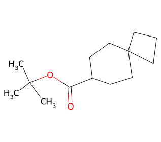 CC(C)(C)OC(=O)C1CCC2(CCC2)CC1